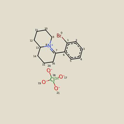 Brc1ccccc1C1=[N+]2CCCCC2CCC1.[O-][Cl+3]([O-])([O-])[O-]